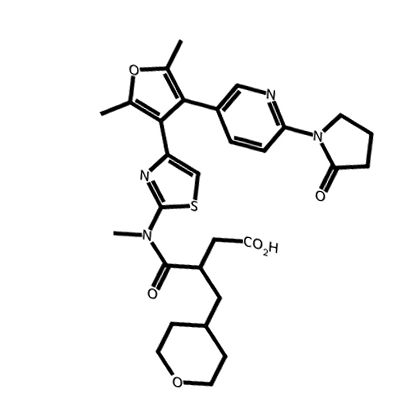 Cc1oc(C)c(-c2csc(N(C)C(=O)C(CC(=O)O)CC3CCOCC3)n2)c1-c1ccc(N2CCCC2=O)nc1